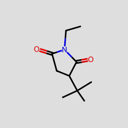 CCN1C(=O)CC(C(C)(C)C)C1=O